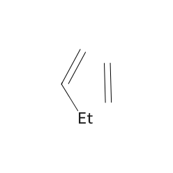 C=C.C=CCC